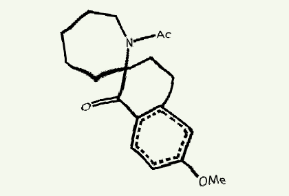 COc1ccc2c(c1)CCC1(CCCCCN1C(C)=O)C2=O